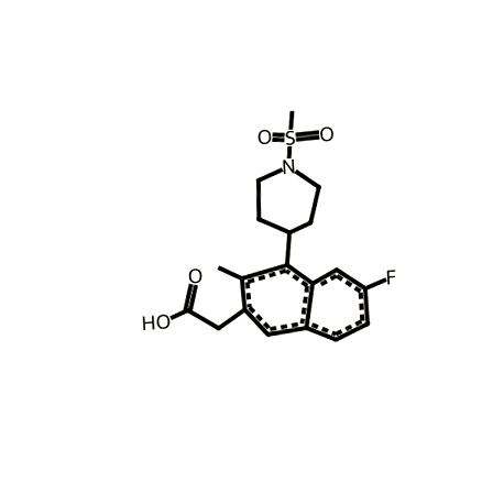 Cc1c(CC(=O)O)cc2ccc(F)cc2c1C1CCN(S(C)(=O)=O)CC1